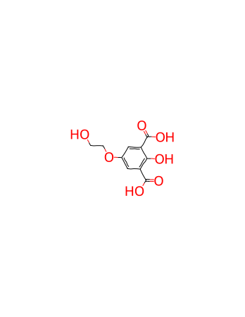 O=C(O)c1cc(OCCO)cc(C(=O)O)c1O